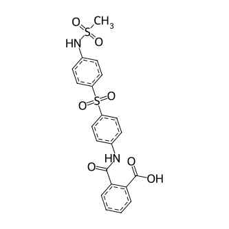 CS(=O)(=O)Nc1ccc(S(=O)(=O)c2ccc(NC(=O)c3ccccc3C(=O)O)cc2)cc1